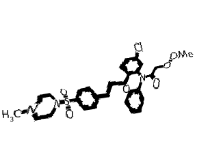 COOCC(=O)N(c1ccccc1)c1cc(Cl)ccc1C(=O)CCc1ccc(S(=O)(=O)N2CCN(C)CC2)cc1